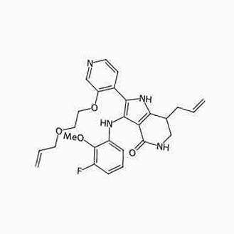 C=CCOCCOc1cnccc1-c1[nH]c2c(c1Nc1cccc(F)c1OC)C(=O)NCC2CC=C